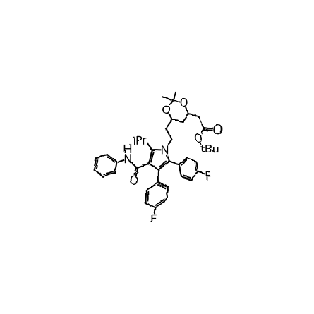 CC(C)c1c(C(=O)Nc2ccccc2)c(-c2ccc(F)cc2)c(-c2ccc(F)cc2)n1CCC1CC(CC(=O)OC(C)(C)C)OC(C)(C)O1